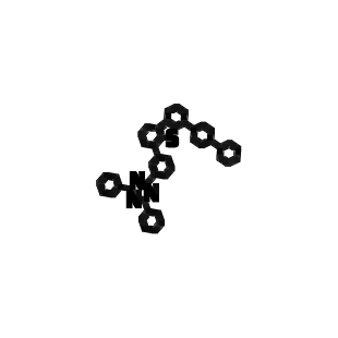 c1ccc(-c2ccc(-c3cccc4c3sc3c(-c5cccc(-c6nc(-c7ccccc7)nc(-c7ccccc7)n6)c5)cccc34)cc2)cc1